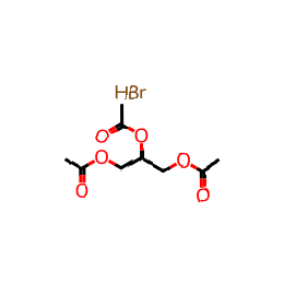 Br.CC(=O)OCC(COC(C)=O)OC(C)=O